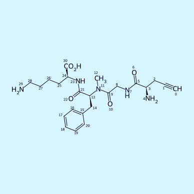 C#CC[C@@H](N)C(=O)NCC(=O)N(C)[C@@H](Cc1ccccc1)C(=O)N[C@@H](CCCCN)C(=O)O